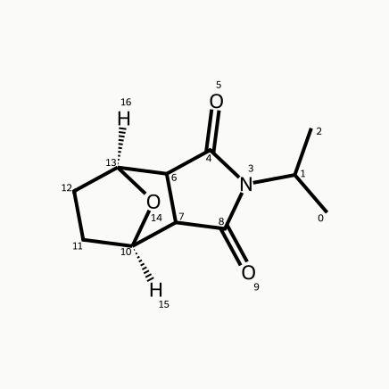 CC(C)N1C(=O)C2C(C1=O)[C@H]1CC[C@@H]2O1